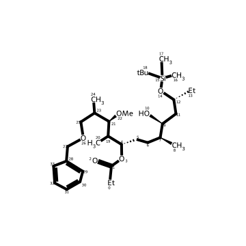 CCC(=O)O[C@@H](CC[C@H](C)[C@@H](O)C[C@@H](CC)O[Si](C)(C)C(C)(C)C)C(C)[C@H](OC)C(C)COCc1ccccc1